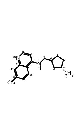 C[C@H]1CCC(CNc2ccnc3cc(Cl)ccc23)C1